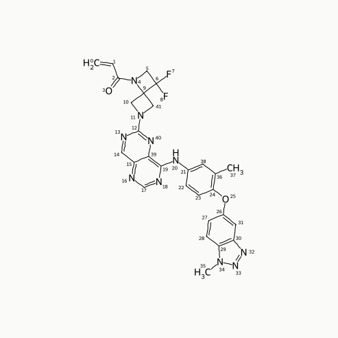 C=CC(=O)N1CC(F)(F)C12CN(c1ncc3ncnc(Nc4ccc(Oc5ccc6c(c5)nnn6C)c(C)c4)c3n1)C2